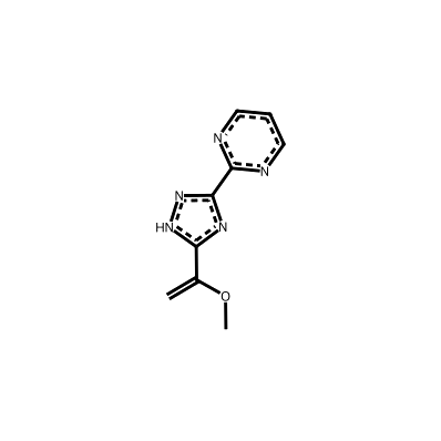 C=C(OC)c1nc(-c2ncccn2)n[nH]1